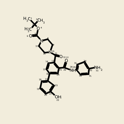 CC(C)(C)OC(=O)N1CCN(C(=O)c2ccc(-c3cccc(O)c3)cc2C(=O)Nc2ccc(N)cc2)CC1